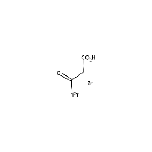 CCCC(=O)CC(=O)O.[Zr]